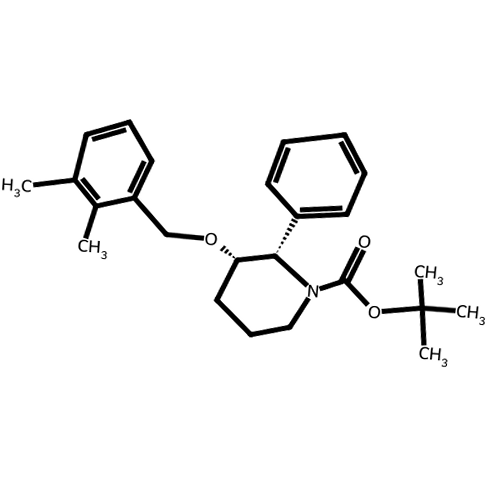 Cc1cccc(CO[C@H]2CCCN(C(=O)OC(C)(C)C)[C@H]2c2ccccc2)c1C